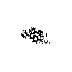 COC(=O)c1ccc(CN(c2cnccn2)c2cc(-c3cc[nH]n3)ccn2)cc1